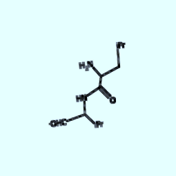 CC(C)CC(N)C(=O)NC([C]=O)C(C)C